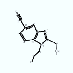 CCCn1c(CO)nc2cc(C#N)ccc21